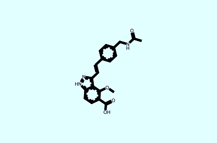 COc1c(C(=O)O)ccc2[nH]nc(C=Cc3ccc(CNC(C)=O)cc3)c12